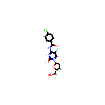 O=C(Nc1nc(=O)n([C@H]2CC[C@@H](CO)O2)cc1F)c1ccc(Cl)cc1